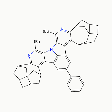 CC(C)(C)c1nc2c(c3c4cc(-c5ccccc5)cc5c6c7c(nc(C(C)(C)C)c6n(c13)c45)C1CC3CC4CC7CC34C1)C1CC3CC4CC2CC43C1